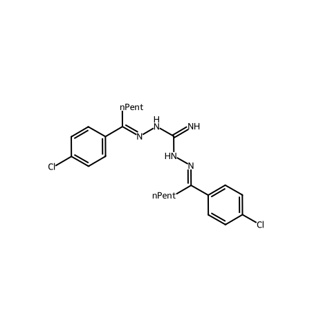 CCCCC/C(=N\NC(=N)N/N=C(\CCCCC)c1ccc(Cl)cc1)c1ccc(Cl)cc1